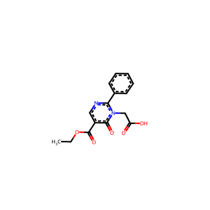 CCOC(=O)c1cnc(-c2ccccc2)n(CC(=O)O)c1=O